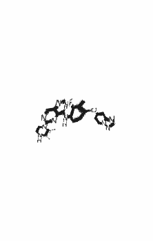 Cc1c(Oc2ccn3ncnc3c2)ccc(Nc2ncnc3cnc(N4CCN[C@@H](C)[C@H]4C)nc23)c1F